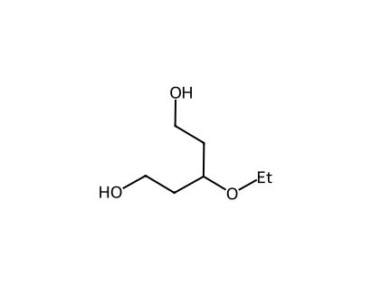 CCOC(CCO)CCO